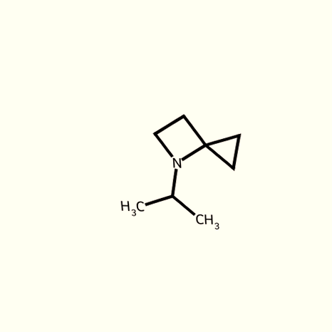 CC(C)N1CCC12CC2